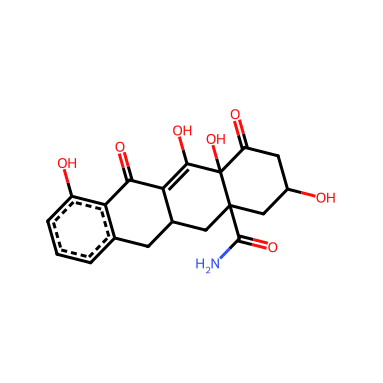 NC(=O)C12CC(O)CC(=O)C1(O)C(O)=C1C(=O)c3c(O)cccc3CC1C2